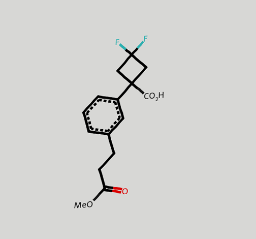 COC(=O)CCc1cccc(C2(C(=O)O)CC(F)(F)C2)c1